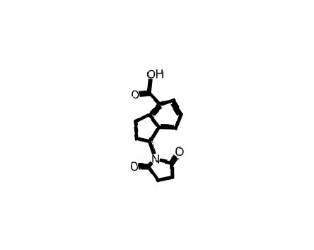 O=C(O)c1cccc2c1CCC2N1C(=O)CCC1=O